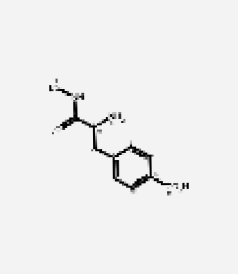 CCNC(=O)[C@@H](N)Cc1ccc(C(=O)O)cc1